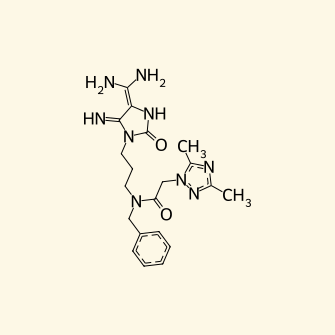 Cc1nc(C)n(CC(=O)N(CCCN2C(=N)C(=C(N)N)NC2=O)Cc2ccccc2)n1